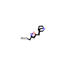 COCc1cc(C=C2CN3CCC2CC3)on1